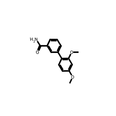 COc1ccc(-c2cccc(C(N)=O)c2)c(OC)c1